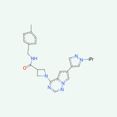 Cc1ccc(CNC(=O)C2CN(c3ncnn4cc(-c5cnn(C(C)C)c5)cc34)C2)cc1